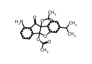 CC(=O)OC12Oc3cc(C(C)C)ccc3C1(OC(C)=O)C(=O)c1c(N)cccc12